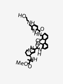 COC(=O)C(C)(C)NC1CCCn2nc(C(=O)Nc3cccc(-c4cccc(NC(=O)c5ccc(CNCCO)cn5)c4Cl)c3Cl)cc21